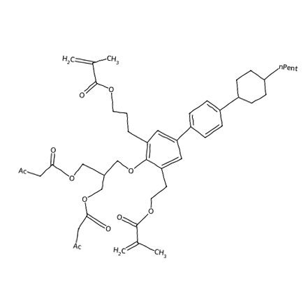 C=C(C)C(=O)OCCCc1cc(-c2ccc(C3CCC(CCCCC)CC3)cc2)cc(CCOC(=O)C(=C)C)c1OCC(COC(=O)CC(C)=O)COC(=O)CC(C)=O